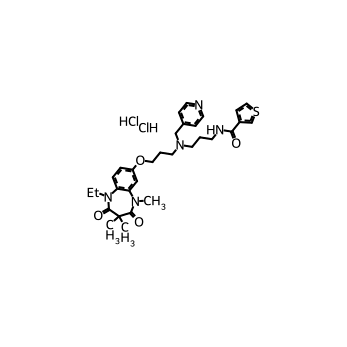 CCN1C(=O)C(C)(C)C(=O)N(C)c2cc(OCCCN(CCCNC(=O)c3ccsc3)Cc3ccncc3)ccc21.Cl.Cl